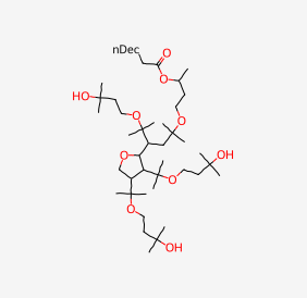 CCCCCCCCCCCC(=O)OC(C)CCOC(C)(C)CC(C1OCC(C(C)(C)OCCC(C)(C)O)C1C(C)(C)OCCC(C)(C)O)C(C)(C)OCCC(C)(C)O